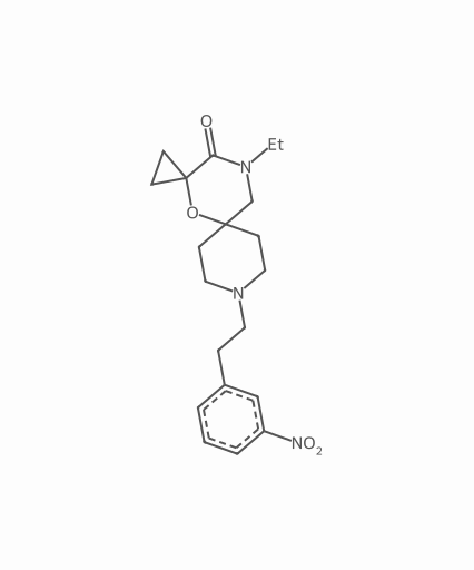 CCN1CC2(CCN(CCc3cccc([N+](=O)[O-])c3)CC2)OC2(CC2)C1=O